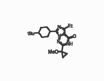 CCc1nc(C2CCC(C(C)(C)C)CC2)n2nc(C3(OC)CC3)[nH]c(=O)c12